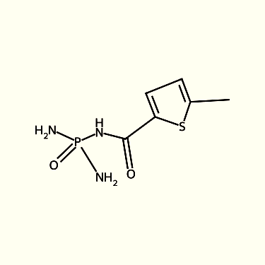 Cc1ccc(C(=O)NP(N)(N)=O)s1